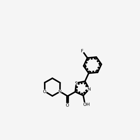 O=C(c1sc(-c2cccc(F)c2)nc1O)N1CCCOC1